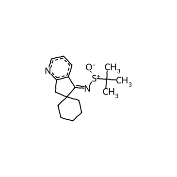 CC(C)(C)[S@@+]([O-])/N=C1\c2cccnc2CC12CCCCC2